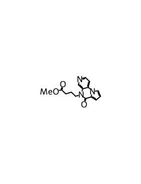 COC(=O)CCCn1c(=O)c2cccn2c2ccncc21